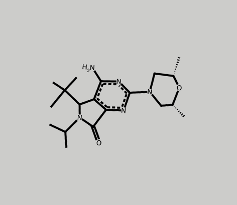 CC(C)N1C(=O)c2nc(N3C[C@@H](C)O[C@@H](C)C3)nc(N)c2C1C(C)(C)C